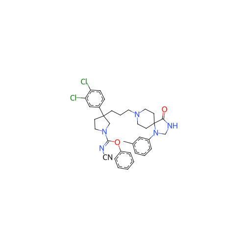 Cc1cccc(N2CNC(=O)C23CCN(CCCC2(c4ccc(Cl)c(Cl)c4)CCN(/C(=N/C#N)Oc4ccccc4)C2)CC3)c1